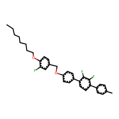 CCCCCCCCOc1ccc(COc2ccc(-c3ccc(-c4ccc(C)cc4)c(F)c3F)cc2)cc1F